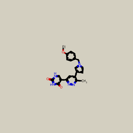 CCOc1ccc(Cn2ccc(-c3cc(-c4c[nH]c(=O)[nH]c4=O)nnc3C)c2)cc1